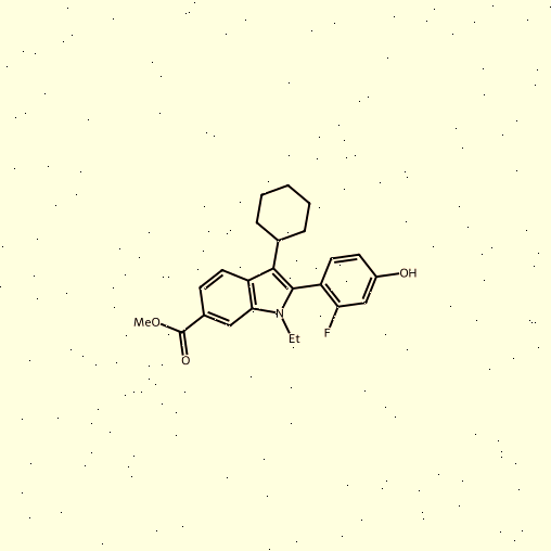 CCn1c(-c2ccc(O)cc2F)c(C2CCCCC2)c2ccc(C(=O)OC)cc21